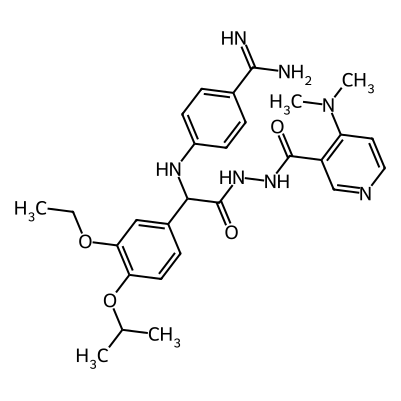 CCOc1cc(C(Nc2ccc(C(=N)N)cc2)C(=O)NNC(=O)c2cnccc2N(C)C)ccc1OC(C)C